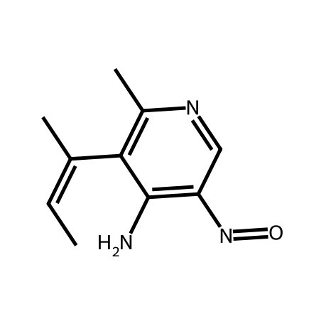 C/C=C(/C)c1c(C)ncc(N=O)c1N